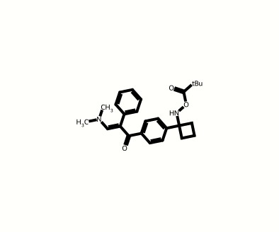 CN(C)C=C(C(=O)c1ccc(C2(NOC(=O)C(C)(C)C)CCC2)cc1)c1ccccc1